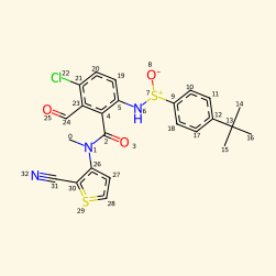 CN(C(=O)c1c(N[S+]([O-])c2ccc(C(C)(C)C)cc2)ccc(Cl)c1C=O)c1ccsc1C#N